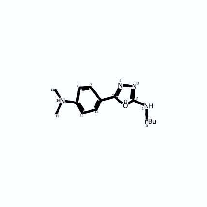 CCCCNc1nnc(-c2ccc(N(C)C)cc2)o1